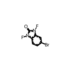 O=c1n(F)c2ccc(Br)cc2n1F